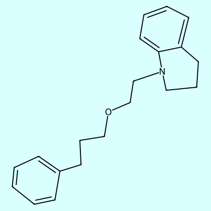 c1ccc(CCCOCCN2CCCc3ccccc32)cc1